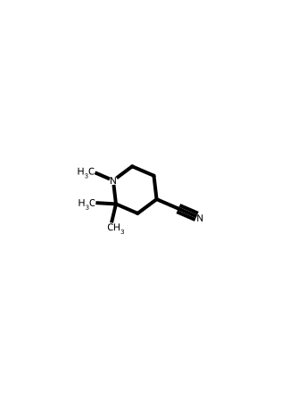 CN1CCC(C#N)CC1(C)C